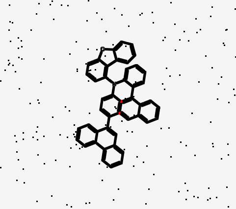 c1ccc(N(c2ccc(-c3cc4ccccc4c4ccccc34)cc2)c2cccc3oc4ccccc4c23)c(-c2cccc3ccccc23)c1